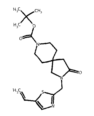 C=Cc1cnc(CN2CC3(CCN(C(=O)OC(C)(C)C)CC3)CC2=O)s1